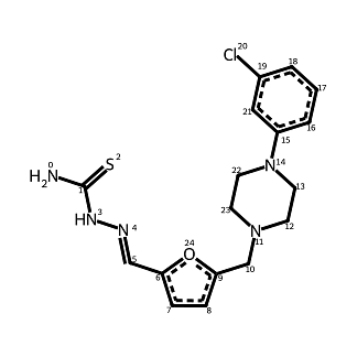 NC(=S)NN=Cc1ccc(CN2CCN(c3cccc(Cl)c3)CC2)o1